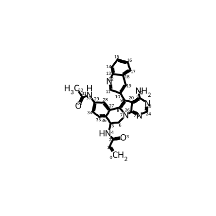 C=CC(=O)NC1Cn2c(c(-c3cnc4ccccc4c3)c3c(N)ncnc32)-c2cc(NC(C)=O)ccc21